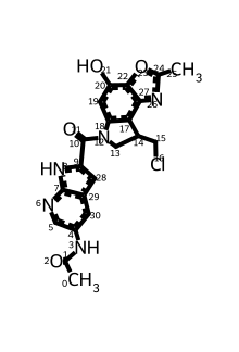 CC(=O)Nc1cnc2[nH]c(C(=O)N3CC(CCl)c4c3cc(O)c3oc(C)nc43)cc2c1